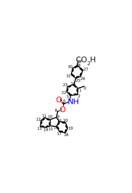 Cc1cc(NC(=O)OCC2c3ccccc3-c3ccccc32)ccc1-c1ccc(C(=O)O)cc1